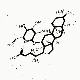 C[C@H](CCC(=O)O)[C@H]1CC[C@H]2[C@@H]3CC[C@@H]4C[C@](N)(O)CC[C@]4(C)[C@H]3C[C@H](OC3O[C@H](CO)[C@@H](O)[C@H](O)[C@H]3O)[C@]12C